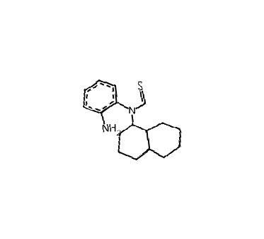 Nc1ccccc1N(C=S)C1CCCC2CCCCC21